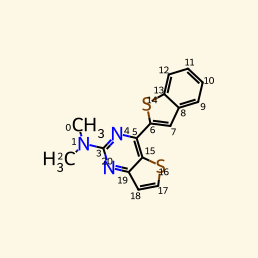 CN(C)c1nc(-c2cc3ccccc3s2)c2sccc2n1